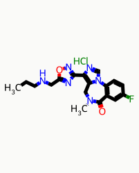 CCCNCc1nc(-c2ncn3c2CN(C)C(=O)c2cc(F)ccc2-3)no1.Cl